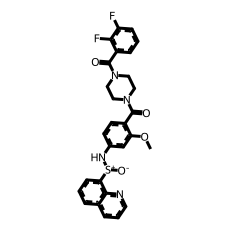 COc1cc(N[S+]([O-])c2cccc3cccnc23)ccc1C(=O)N1CCN(C(=O)c2cccc(F)c2F)CC1